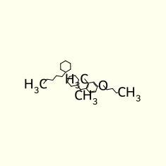 CCCCCC1([C@H]2CC[C@H](C(C)c3ccc(OCCCC)cc3C)CC2)CCCCC1